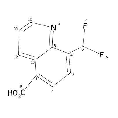 O=C(O)c1ccc(C(F)F)c2ncccc12